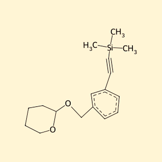 C[Si](C)(C)C#Cc1cccc(COC2CCCCO2)c1